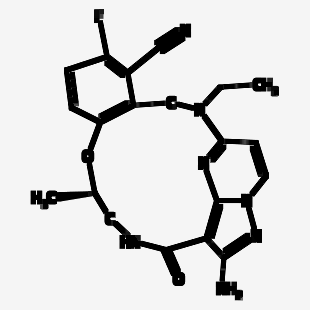 CCN1Cc2c(ccc(F)c2C#N)O[C@H](C)CNC(=O)c2c(N)nn3ccc1nc23